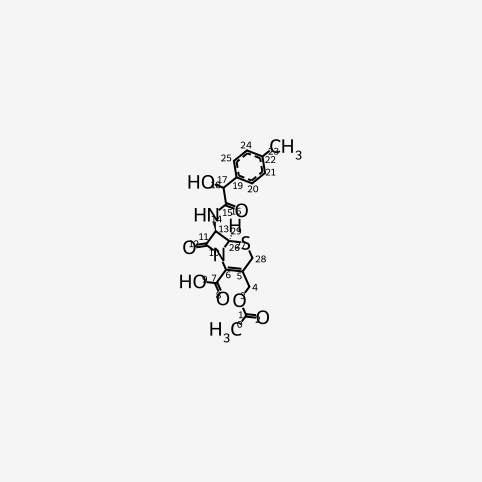 CC(=O)OCC1=C(C(=O)O)N2C(=O)[C@@H](NC(=O)C(O)c3ccc(C)cc3)[C@H]2SC1